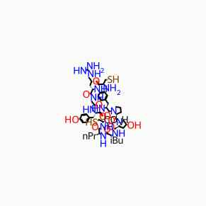 CCC[C@H](NC(=O)[C@@H](NC(=O)[C@@H]1C[C@@H](O)CN1C(=O)[C@@H]1CCCN1C(=O)[C@H](Cc1ccccc1)NC(=O)[C@H](Cc1ccc(O)cc1)NC(=O)CNC(=O)[C@H](CCCNC(=N)N)NC(=O)[C@@H](N)CS)[C@@H](C)CC)C(=O)N[C@@H](CS)C(=O)O